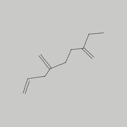 C=CCC(=C)CCC(=C)CC